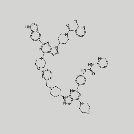 O=C(Nc1ccc(-c2nc(N3CCOCC3)c3cnn(C4CCN(Cc5cccnc5)CC4)c3n2)cc1)Nc1ccccn1.O=C(c1cccnc1Cl)N1CCC(n2ncc3c(N4CCOCC4)nc(-c4ccc5[nH]ccc5c4)nc32)CC1